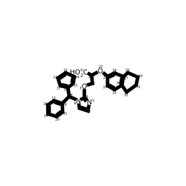 O=C(O)C(COc1nccn1C(c1ccccc1)c1ccccc1)Oc1ccc2c(c1)CCCC2